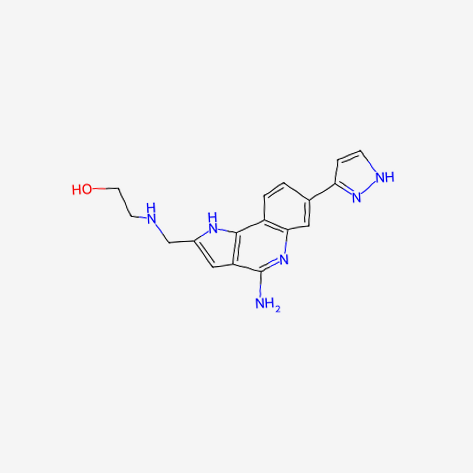 Nc1nc2cc(-c3cc[nH]n3)ccc2c2[nH]c(CNCCO)cc12